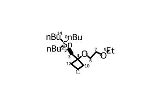 CCC[CH2][Sn]([C]#CC1(OCCOCC)CCC1)([CH2]CCC)[CH2]CCC